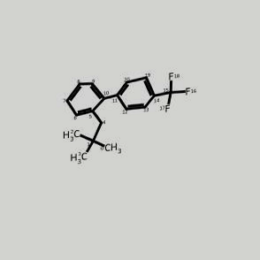 CC(C)(C)Cc1ccccc1-c1ccc(C(F)(F)F)cc1